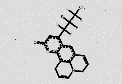 O=c1cc(C(F)(F)C(F)(F)C(F)(F)C(F)(F)F)c2cc3c4c(c2o1)CC=CN4CC=C3